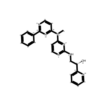 CN(c1ccnc(NC[C@H](O)c2ccccn2)n1)c1ccnc(-c2ccccc2)n1